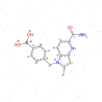 Cc1cc2nc(C(N)=O)ccc2n1Cc1ccc(B(O)O)cc1